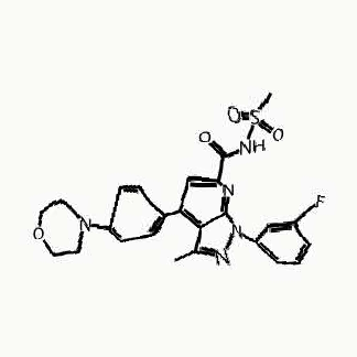 Cc1nn(-c2cccc(F)c2)c2nc(C(=O)NS(C)(=O)=O)cc(-c3ccc(N4CCOCC4)cc3)c12